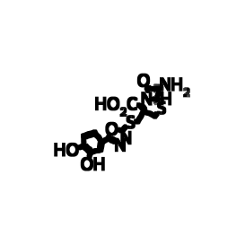 N[C@@H]1C(=O)N2C(C(=O)O)=C(CSc3nnc(-c4ccc(O)c(O)c4)o3)CS[C@H]12